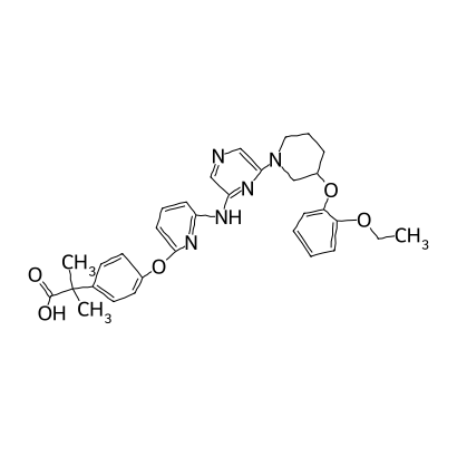 CCOc1ccccc1OC1CCCN(c2cncc(Nc3cccc(Oc4ccc(C(C)(C)C(=O)O)cc4)n3)n2)C1